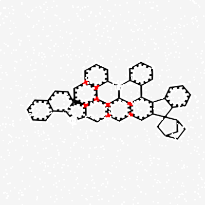 c1ccc(-c2ccccc2N(c2ccccc2-c2cccc3c2-c2ccccc2C32CC3CCC2C3)c2ccccc2-c2cccc3oc4c5ccccc5ccc4c23)cc1